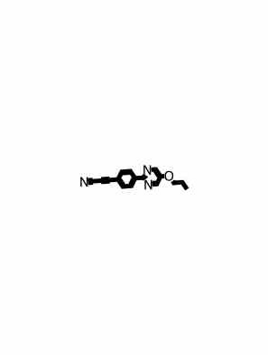 CCCOc1cnc(-c2ccc(C#CC#N)cc2)nc1